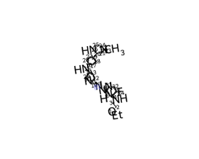 CCOCCNc1nc(N/N=C/c2ccc(Nc3ccc(C4CN(C)CCN4)cc3)cn2)ncc1F